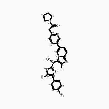 CCc1nc2ccc(-c3cnc(CC(=O)N4CCCC4)cn3)cn2c1N(C)c1nc(-c2ccc(P)cc2)c(C#N)s1